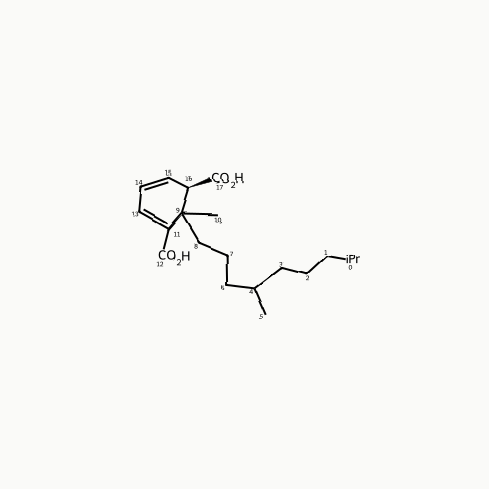 CC(C)CCCC(C)CCCC1(C)C(C(=O)O)=CC=C[C@H]1C(=O)O